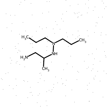 CCCN(CCC)NC(C)CN